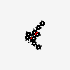 C1=CC(C2C=CC(c3ccc(N(c4ccccc4-c4ccccc4)c4cccc5ccc6oc(-c7ccc(-c8ccccc8)cc7)nc6c45)cc3)=CC2)=CCC1